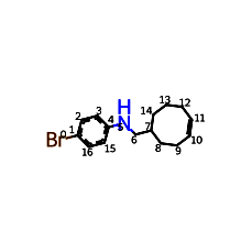 Brc1ccc(NCC2CCC=CCCC2)cc1